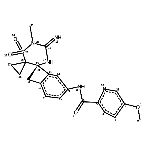 COc1ccc(C(=O)Nc2ccc3c(c2)[C@@]2(C3)NC(=N)N(C)S(=O)(=O)C23CC3)nc1